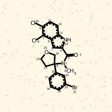 CN(C(=O)c1cc2c(Cl)c(Cl)ccc2[nH]1)C1(c2cccc(Br)c2)CCOC1